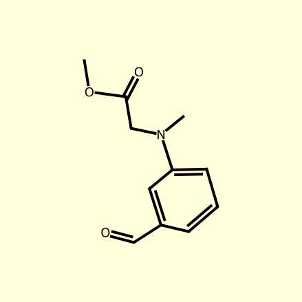 COC(=O)CN(C)c1cccc(C=O)c1